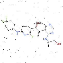 C=C(C(=O)c1ccc(NC2CCC(F)(F)CC2)nc1F)c1c(NC)ncnc1N[C@H](C)CO